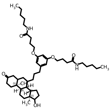 CCCCCNC(=O)CCCOc1cc(CCCC2CC3CC(=O)CC[C@]3(C)[C@@H]3CC[C@]4(C)C(O)CC[C@H]4[C@H]23)cc(OCCCC(=O)NCCCCC)c1